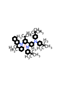 CC(C)c1cc2c3c(c1)N1c4cc5ccccc5cc4C(C)(C)c4cccc(c41)B3N(c1cccc(C(C)(C)C)c1)c1ccc(N(c3ccc(C(C)(C)C)cc3)c3ccc(C(C)(C)C)cc3)cc1-2